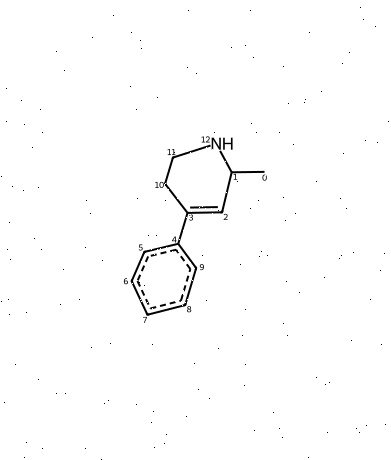 CC1C=C(c2ccccc2)CCN1